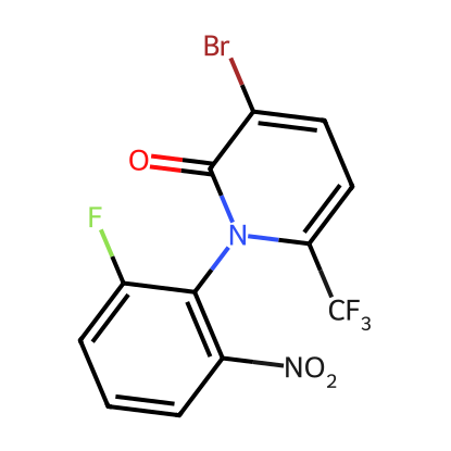 O=c1c(Br)ccc(C(F)(F)F)n1-c1c(F)cccc1[N+](=O)[O-]